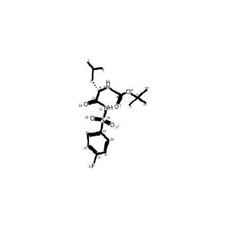 CC(C)C[C@H](NC(=O)OC(C)(C)C)C(=O)NS(=O)(=O)c1ccc(F)cc1